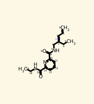 C=C/C=C(\CC)CNC(=O)c1cccc(C(=O)NCC)n1